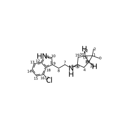 CC1(C)[C@@H]2C[C@@H](NCCc3c[nH]c4cccc(Cl)c34)C[C@@H]21